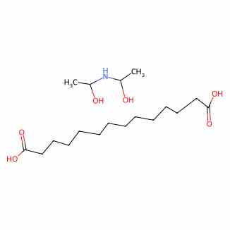 CC(O)NC(C)O.O=C(O)CCCCCCCCCCCCC(=O)O